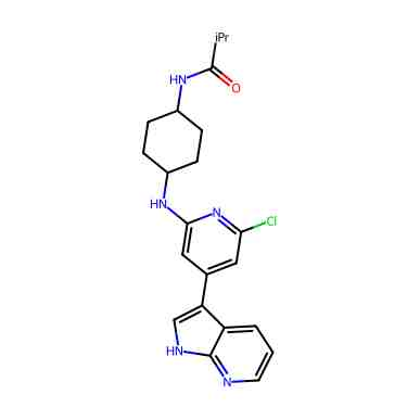 CC(C)C(=O)NC1CCC(Nc2cc(-c3c[nH]c4ncccc34)cc(Cl)n2)CC1